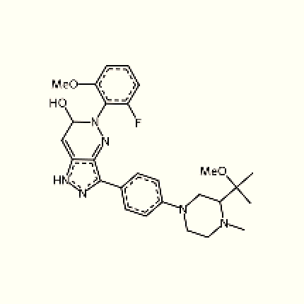 COc1cccc(F)c1N1N=c2c(-c3ccc(N4CCN(C)C(C(C)(C)OC)C4)cc3)n[nH]c2=CC1O